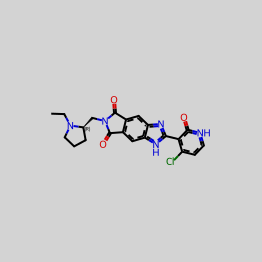 CCN1CCC[C@@H]1CN1C(=O)c2cc3nc(-c4c(Cl)cc[nH]c4=O)[nH]c3cc2C1=O